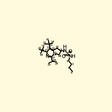 CCCCNS(=O)(=O)NC1CC2=C(C(C)(C)C)C(C(C)(C)C)N=C(C(C)C)N2C1